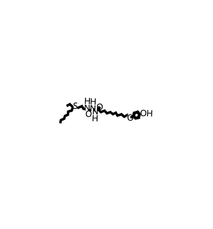 CCCCCCCC(CC)SCCCNC(=O)NNC(=O)CCCCCCCCCCOc1ccc(O)cc1